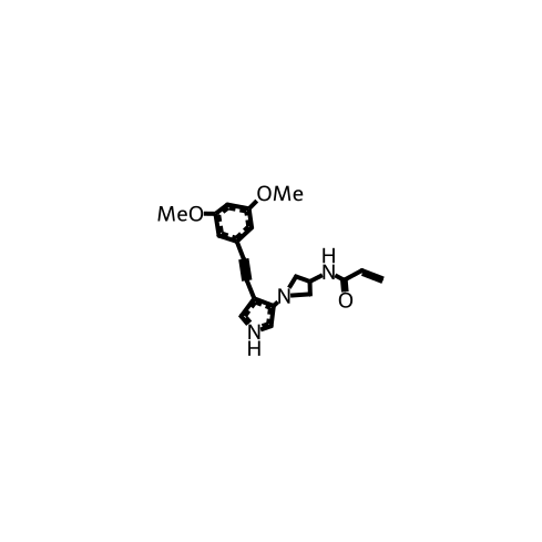 C=CC(=O)NC1CN(c2c[nH]cc2C#Cc2cc(OC)cc(OC)c2)C1